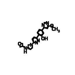 COc1cc(-c2ccc(-c3ccc(N4CC[C@H](NC5COC5)C4)nn3)c(O)c2)ncn1